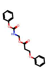 O=C(CCOc1ccccc1)OCNC(=O)Oc1ccccc1